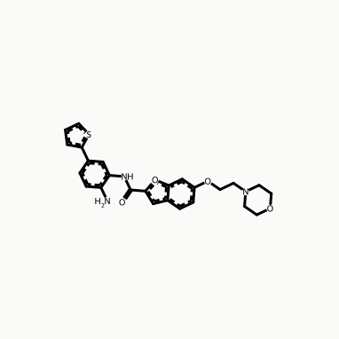 Nc1ccc(-c2cccs2)cc1NC(=O)c1cc2ccc(OCCN3CCOCC3)cc2o1